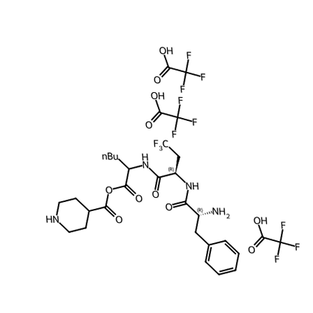 CCCCC(NC(=O)[C@@H](CC(F)(F)F)NC(=O)[C@H](N)Cc1ccccc1)C(=O)OC(=O)C1CCNCC1.O=C(O)C(F)(F)F.O=C(O)C(F)(F)F.O=C(O)C(F)(F)F